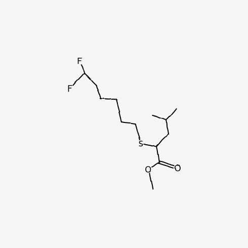 COC(=O)C(CC(C)C)SCCCCCC(F)F